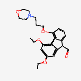 CCOc1cc(OCC)c2c(c1)C(C=O)c1cccc(OCCCN3CCOCC3)c1-2